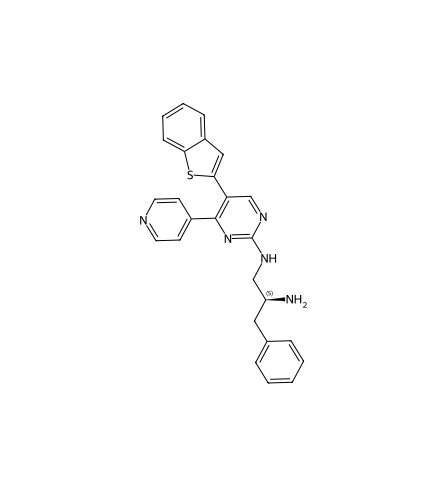 N[C@H](CNc1ncc(-c2cc3ccccc3s2)c(-c2ccncc2)n1)Cc1ccccc1